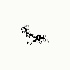 CCCc1c(CSc2nnc(NC(=O)C(=O)O)s2)ccc(C(C)=O)c1O